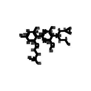 CCCN(CC1CC1)c1c(C)nc(-c2c(C)cc(C)cc2OCCN(C)C)nc1OC